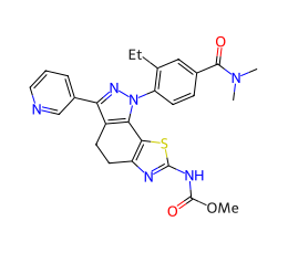 CCc1cc(C(=O)N(C)C)ccc1-n1nc(-c2cccnc2)c2c1-c1sc(NC(=O)OC)nc1CC2